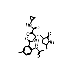 CC(=O)Nc1ccc(C)cc1C(=O)N[C@@H](C[C@@H]1CC(C)NC1=O)C(=O)C(=O)NC1CC1